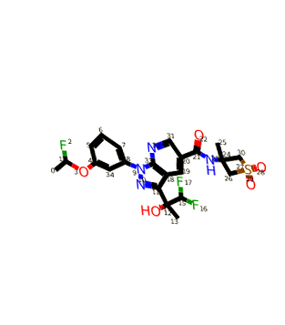 CC(F)Oc1cccc(-n2nc(C(C)(O)C(F)F)c3cc(C(=O)NC4(C)CS(=O)(=O)C4)cnc32)c1